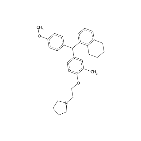 COc1ccc(C(c2ccc(OCCN3CCCC3)c(C)c2)c2cccc3c2CCCC3)cc1